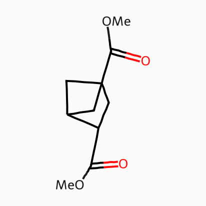 COC(=O)C1CC2(C(=O)OC)CC1C2